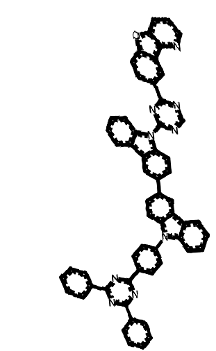 c1ccc(-c2nc(-c3ccccc3)nc(-c3ccc(-n4c5ccccc5c5cc(-c6ccc7c(c6)c6ccccc6n7-c6ncnc(-c7ccc8oc9cccnc9c8c7)n6)ccc54)cc3)n2)cc1